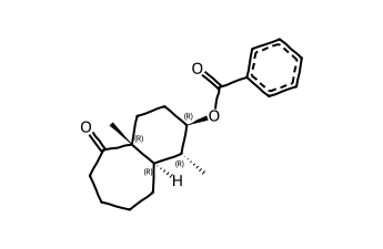 C[C@@H]1[C@H]2CCCCC(=O)[C@]2(C)CC[C@H]1OC(=O)c1ccccc1